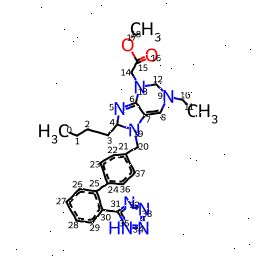 CCCCC1N=C2C(=CN(CC)CN2CC(=O)OC)N1Cc1ccc(-c2ccccc2-c2nnn[nH]2)cc1